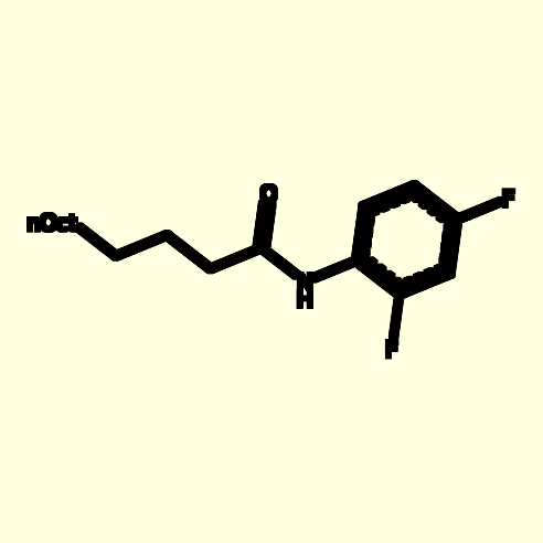 CCCCCCCCCCCC(=O)Nc1ccc(F)cc1F